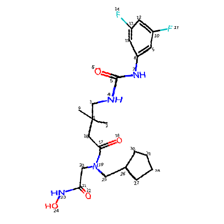 CC(C)(CNC(=O)Nc1cc(F)cc(F)c1)CC(=O)N(CC(=O)NO)CC1CCCC1